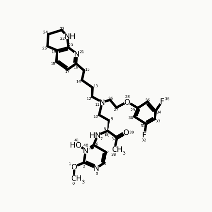 COc1nccc(N[C@@H](CCN(CCCCc2ccc3c(n2)NCCC3)CCOc2cc(F)cc(F)c2)C(C)=O)[n+]1O